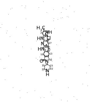 Cc1cc(Nc2nc(Nc3cc4c(cc3F)CN(C3CCNCC3)C4=O)ncc2Cl)n[nH]1